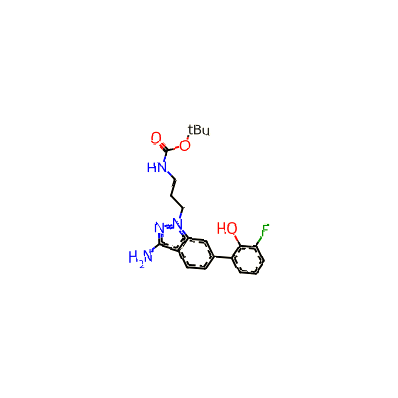 CC(C)(C)OC(=O)NCCCn1nc(N)c2ccc(-c3cccc(F)c3O)cc21